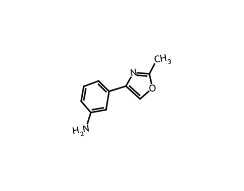 Cc1nc(-c2cccc(N)c2)co1